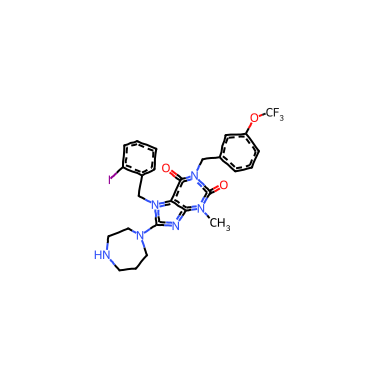 Cn1c(=O)n(Cc2cccc(OC(F)(F)F)c2)c(=O)c2c1nc(N1CCCNCC1)n2Cc1ccccc1I